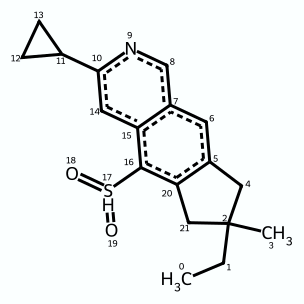 CCC1(C)Cc2cc3cnc(C4CC4)cc3c([SH](=O)=O)c2C1